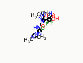 Cc1nc2c(c(-c3cc(C(N)=O)c(O)c(F)c3F)cn2CC(=O)Nc2cc(N3CCN(C)C[C@@H]3C)ncc2Cl)c(=O)n1C